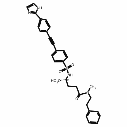 CN(CCc1ccccc1)C(=O)CC[C@@H](NS(=O)(=O)c1ccc(C#Cc2ccc(-c3ncc[nH]3)cc2)cc1)C(=O)O